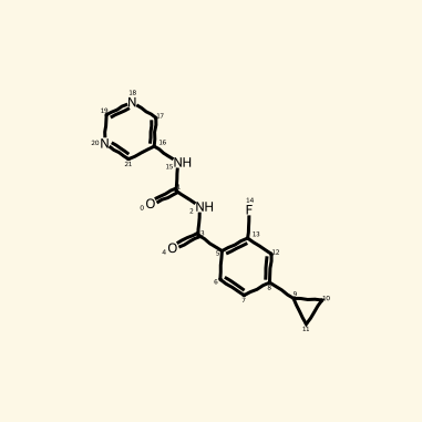 O=C(NC(=O)c1ccc(C2CC2)cc1F)Nc1cncnc1